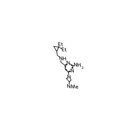 CCC1(CC)CC1CNCc1cc(N2CC(NC)C2)nc(N)n1